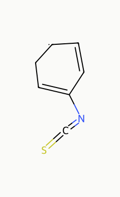 S=C=NC1=CC[CH]C=C1